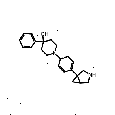 OC1(c2ccccc2)CCN(C2C=CC(C34CNCC3C4)=CC2)CC1